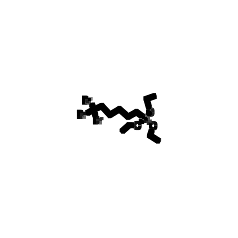 CCO[Si](CCCCCC(Br)(Br)Br)(OCC)OCC